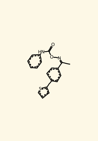 CC(=NOC(=O)Nc1ccccc1)c1ccc(-c2cccs2)cc1